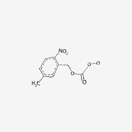 Cc1ccc([N+](=O)[O-])c(COC(=O)OCl)c1